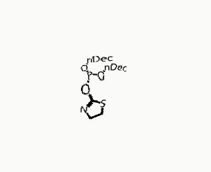 CCCCCCCCCCOP(OCCCCCCCCCC)OC1=NCCS1